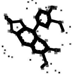 COc1cc(-c2c3c(cc4cc(OC)c(O)cc24)OC(=O)C3)ccc1O